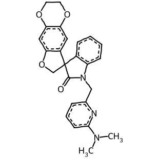 CN(C)c1cccc(CN2C(=O)C3(COc4cc5c(cc43)OCCO5)c3ccccc32)n1